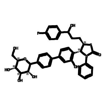 O=C1S[C@H](CCC(O)c2ccc(F)cc2)[C@@H](c2ccc(-c3ccc(C4O[C@H](CO)[C@@H](O)[C@H](O)[C@H]4O)cc3)cc2O)N1c1ccccc1